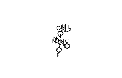 CC(C)NC1(C(N)=O)CCN(c2nncc3c(-c4ccc(F)cc4)n(-c4ccccc4Cl)nc23)CC1